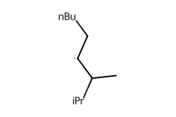 CCCCC[CH]C(C)C(C)C